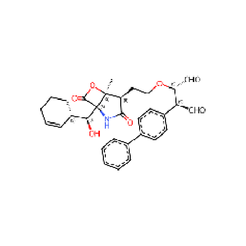 C[C@@]12OC(=O)[C@]1([C@@H](O)[C@@H]1C=CCCC1)NC(=O)[C@@H]2CCO[C@H](C=O)[C@@H](C=O)c1ccc(-c2ccccc2)cc1